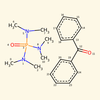 CN(C)P(=O)(N(C)C)N(C)C.O=C(c1ccccc1)c1ccccc1